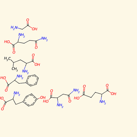 CC(C)CC(N)C(=O)O.NC(=O)CC(N)C(=O)O.NC(=O)CCC(N)C(=O)O.NC(CCC(=O)O)C(=O)O.NC(Cc1ccc(O)cc1)C(=O)O.NC(Cc1ccccc1)C(=O)O.NCC(=O)O